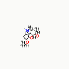 [2H]C([2H])([2H])Oc1ccc2c3c1OC1([2H])C(=O)C([2H])([2H])C[C@@]4([2H])[C@@H](C2)N(C)CC[C@]314